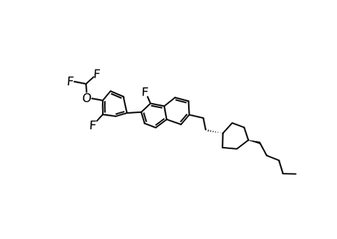 CCCCC[C@H]1CC[C@H](CCc2ccc3c(F)c(-c4ccc(OC(F)F)c(F)c4)ccc3c2)CC1